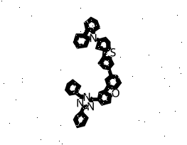 c1ccc(-c2nc(-c3ccccc3)nc(-c3ccc4oc5ccc(-c6ccc7c(c6)sc6ccc(-n8c9ccccc9c9ccccc98)cc67)cc5c4c3)n2)cc1